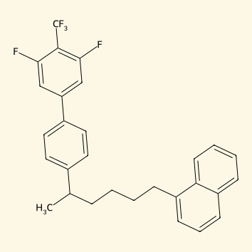 CC(CCCCc1cccc2ccccc12)c1ccc(-c2cc(F)c(C(F)(F)F)c(F)c2)cc1